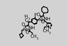 CCC(=O)N[C@@H](C(=O)NCC1CCC1)[C@@H](C)c1ccc(NC(=O)[C@@H](NC(=O)c2ccnn2CC)C2CCCCCC2)c(F)c1